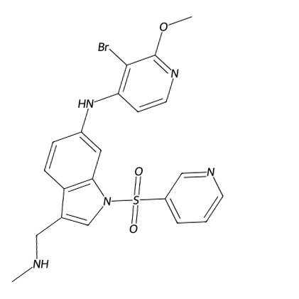 CNCc1cn(S(=O)(=O)c2cccnc2)c2cc(Nc3ccnc(OC)c3Br)ccc12